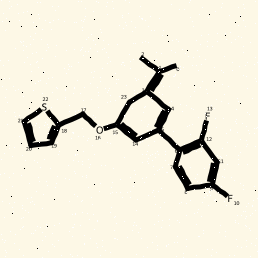 CC(C)=C1C=C(c2ccc(F)cc2F)C=C(OCc2cccs2)C1